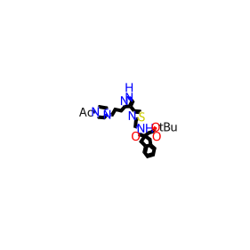 CC(=O)N1CCN(CCCc2n[nH]cc2-c2csc(CNC(=O)C3(CC(=O)OC(C)(C)C)Cc4ccccc4C3)n2)CC1